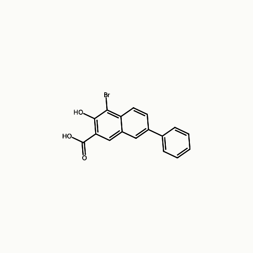 O=C(O)c1cc2cc(-c3ccccc3)ccc2c(Br)c1O